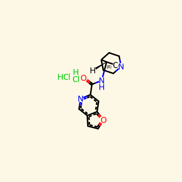 Cl.Cl.O=C(N[C@H]1CN2CCC1CC2)c1cc2occc2cn1